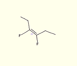 CC/C(F)=C(/F)CC